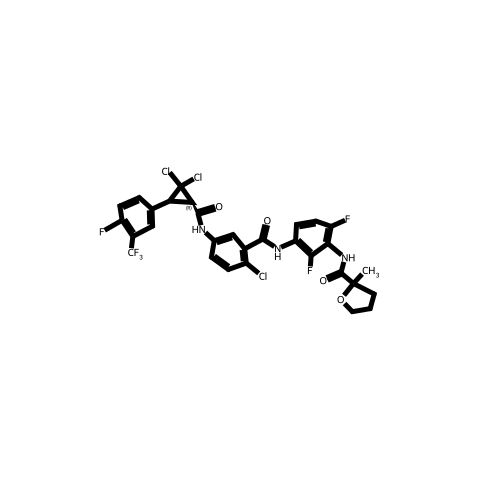 CC1(C(=O)Nc2c(F)ccc(NC(=O)c3cc(NC(=O)[C@H]4C(c5ccc(F)c(C(F)(F)F)c5)C4(Cl)Cl)ccc3Cl)c2F)CCCO1